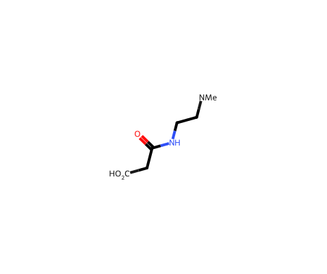 CNCCNC(=O)CC(=O)O